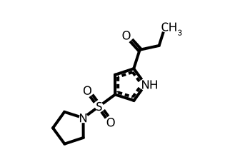 CCC(=O)c1cc(S(=O)(=O)N2CCCC2)c[nH]1